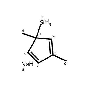 CC1=CC(C)([SiH3])C=C1.[NaH]